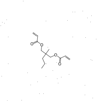 C=CC(=O)OCC(C)(C[CH]C)COC(=O)C=C